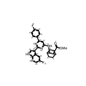 COC(=O)C1C2CCC(CC2)C1Nc1cc(-c2ccc(F)cc2)nc(-c2c[nH]c3ncc(F)cc23)n1